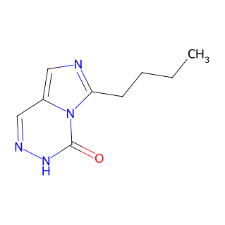 CCCCc1ncc2cn[nH]c(=O)n12